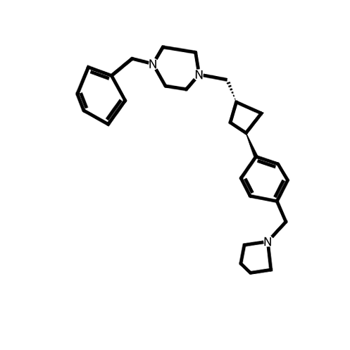 c1ccc(CN2CCN(C[C@H]3C[C@H](c4ccc(CN5CCCC5)cc4)C3)CC2)cc1